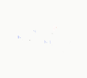 NC(CN1CCNCC1)C(=O)c1ccc(F)cc1